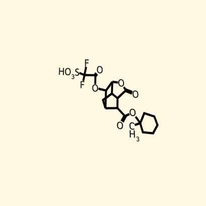 CC1(OC(=O)C2C3CC4C(OC(=O)C42)C3OC(=O)C(F)(F)S(=O)(=O)O)CCCCC1